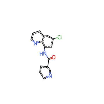 O=C(Nc1cc(Cl)cc2cccnc12)c1cccnc1